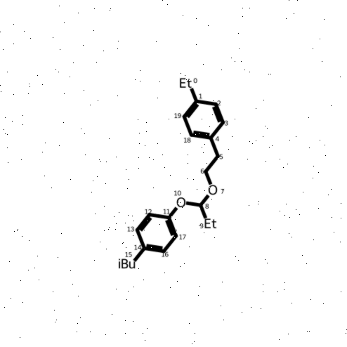 CCc1ccc(CCOC(CC)Oc2ccc(C(C)CC)cc2)cc1